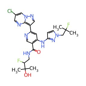 CC(C)(F)Cn1ccc(Nc2cc(-c3cnn4cc(Cl)cnc34)ncc2C(=O)NCC(F)C(C)(C)O)n1